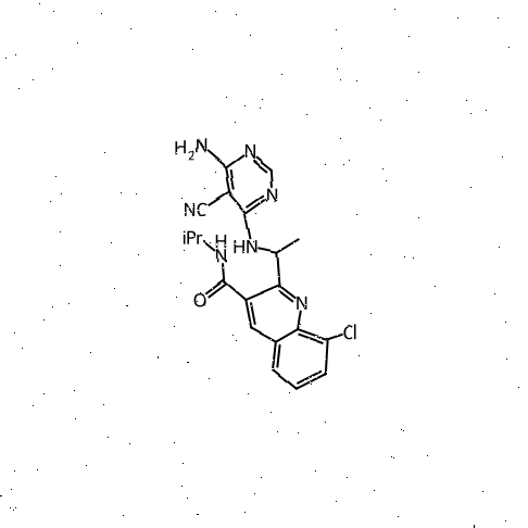 CC(C)NC(=O)c1cc2cccc(Cl)c2nc1C(C)Nc1ncnc(N)c1C#N